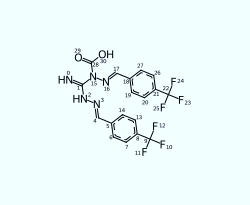 N=C(NN=Cc1ccc(C(F)(F)F)cc1)N(N=Cc1ccc(C(F)(F)F)cc1)C(=O)O